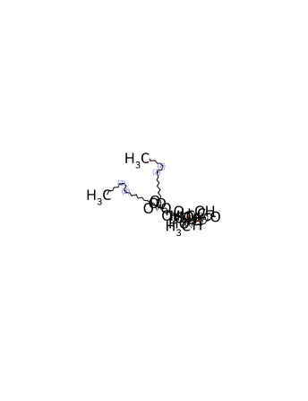 CCCCC/C=C\C/C=C\CCCCCCCC(=O)OC[C@H](COC(=O)CCC(=O)OCC(O)[C@@]1(O)[C@H](C)CC2[C@@H]3CCC4=CC(=O)C=C[C@]4(C)[C@@]3(F)[C@@H](O)C[C@@]21C)OC(=O)CCCCCCC/C=C\C/C=C\CCCCC